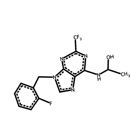 CC(O)Nc1nc(C(F)(F)F)nc2c1ncn2Cc1ccccc1F